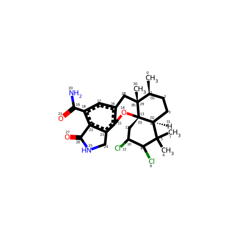 C[C@H]1CC[C@H]2C(C)(C)C(Cl)C(Cl)C[C@]23Oc2c(cc(C(N)=O)c4c2CNC4=O)C[C@]13C